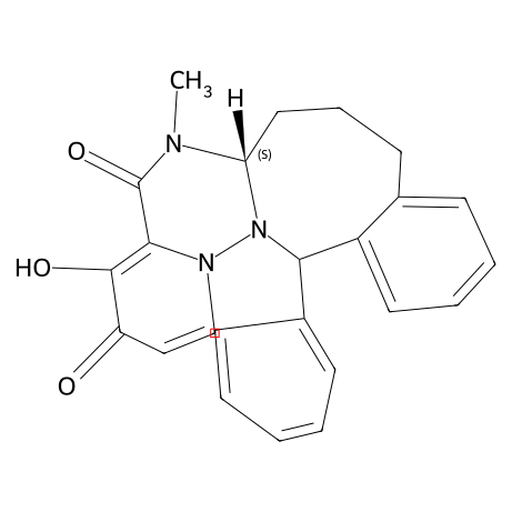 CN1C(=O)c2c(O)c(=O)ccn2N2C(c3ccccc3)c3ccccc3CCC[C@@H]12